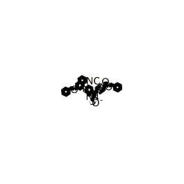 C[S+]([O-])c1nc2c(c(N3CCN(C(=O)OCc4ccccc4)[C@@H](CC#N)C3)n1)CCN(c1cc(OCc3ccccc3)cc3ccccc13)C2